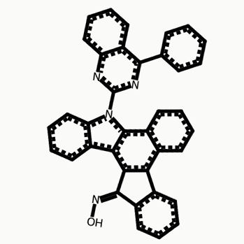 O/N=C1\c2ccccc2-c2c1c1c3ccccc3n(-c3nc(-c4ccccc4)c4ccccc4n3)c1c1ccccc21